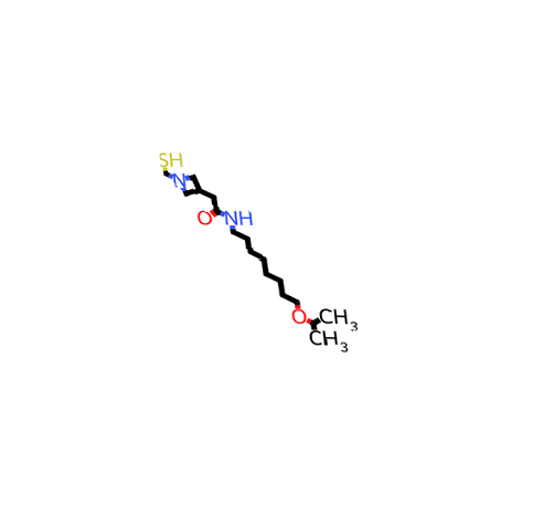 CC(C)OCCCCCCCCNC(=O)CC1CN(CS)C1